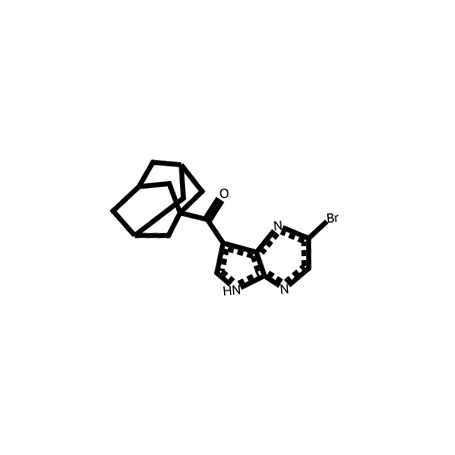 O=C(c1c[nH]c2ncc(Br)nc12)C12CC3CC(CC(C3)C1)C2